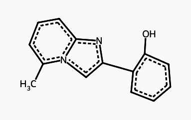 Cc1cccc2nc(-c3ccccc3O)cn12